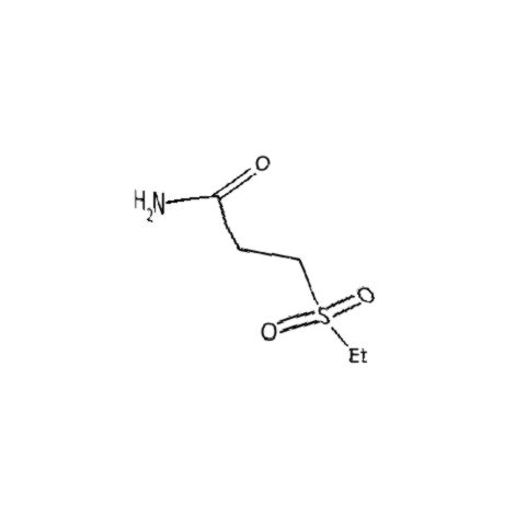 CCS(=O)(=O)CCC(N)=O